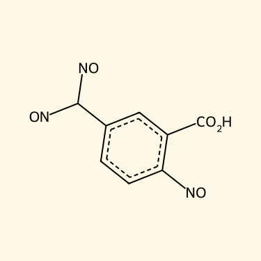 O=Nc1ccc(C(N=O)N=O)cc1C(=O)O